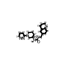 CN(C(=O)NCc1ccc2ncccc2c1)[C@@H]1CCCN(c2cccnn2)C1